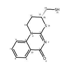 O=c1nc2n(c3ccccc13)CC[C@H](CS)S2